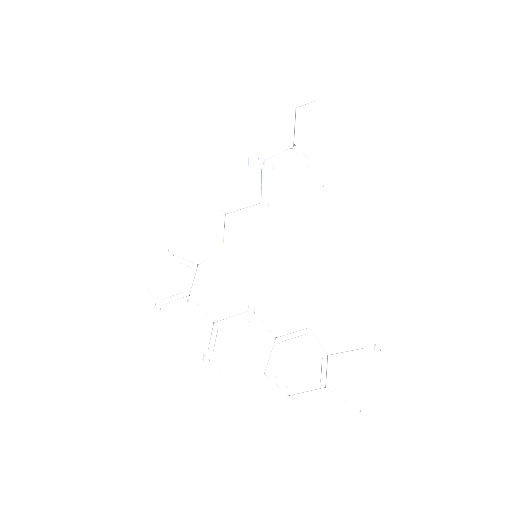 N#Cc1cc(N/C(=N\O)c2nonc2SCCNC(=O)CO)ccc1F